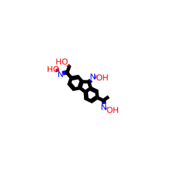 C/C(=N\O)c1ccc2c(c1)/C(=N\O)c1cc(/C(CO)=N/O)ccc1-2